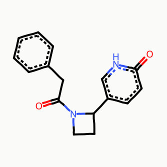 O=C(Cc1ccccc1)N1CCC1c1ccc(=O)[nH]c1